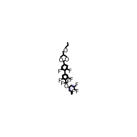 C=C(F)/C=C(\C=C(\F)CF)OC(F)(F)c1c(F)cc(-c2c(F)cc(C3OCC(COCCC)CO3)cc2F)cc1F